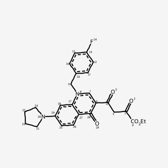 CCOC(=O)C(=O)CC(=O)c1cn(Cc2ccc(F)cc2)c2cc(N3CCCC3)ccc2c1=O